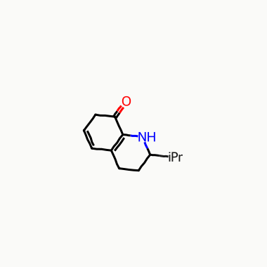 CC(C)C1CCC2=C(N1)C(=O)CC=C2